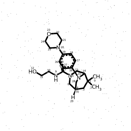 CC1(C)C[C@@H]2CN(C(=O)NCCO)CC1N(c1ccc(N3CCOCC3)cc1)C2